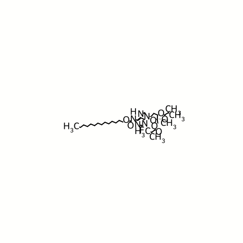 CCCCCCCCCCCCCCOC(=O)Nc1nc(F)nc2c1ncn2[C@H]1C[C@H](OC(=O)C(C)C)[C@@](CC)(COC(=O)C(C)C)O1